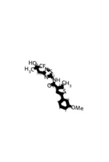 COc1cccc(-c2cc(C(=O)Nc3nc(CC(C)(O)C(F)(F)F)ns3)c(C)s2)c1